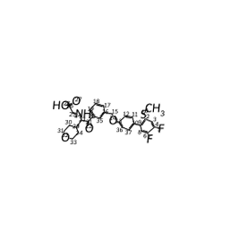 CSc1cc(F)c(F)cc1-c1ccc(OCc2cccc(C(=O)C(NCC(=O)O)C3CCOCC3)c2)cc1